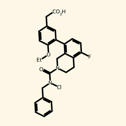 CCOc1ccc(CC(=O)O)cc1-c1ccc(F)c2c1CN(C(=O)N(Cl)Cc1ccccc1)CC2